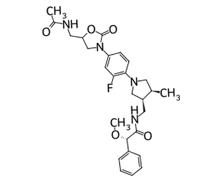 CO[C@H](C(=O)NC[C@H]1CN(c2ccc(N3CC(CNC(C)=O)OC3=O)cc2F)C[C@H]1C)c1ccccc1